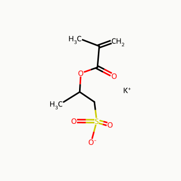 C=C(C)C(=O)OC(C)CS(=O)(=O)[O-].[K+]